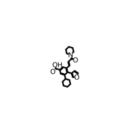 O=C(O)c1cc(/C=C/C(=O)N2CCCCC2)c(-c2ccoc2)c(C2CCCCC2)c1